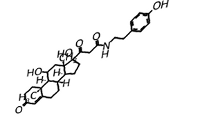 C[C@]12CCC(=O)C=C1CC[C@@H]1[C@@H]2C(O)C[C@@]2(C)[C@H]1CC[C@]2(O)C(=O)CC(=O)NCCc1ccc(O)cc1